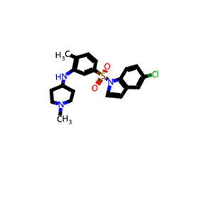 Cc1ccc(S(=O)(=O)n2ccc3cc(Cl)ccc32)cc1NC1CCN(C)CC1